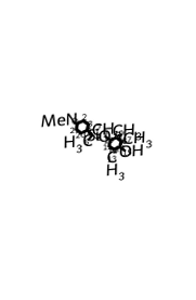 CNc1ccc([Si](C)(C)COc2cc(C)c(O)c(C)c2C)cc1